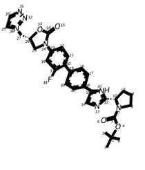 CC(C)(C)OC(=O)N1CCC[C@H]1c1ncc(-c2ccc(-c3ccc(N4C[C@H](Cn5ccnn5)OC4=O)cc3F)cc2)[nH]1